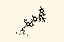 CCN(CC)CCOc1cc2ncnc(Oc3ccc(NC(=O)C4(C(=O)Nc5ccc(F)cc5)C[C@H]4C)cc3F)c2cc1OC